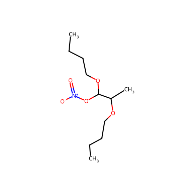 CCCCOC(C)C(OCCCC)O[N+](=O)[O-]